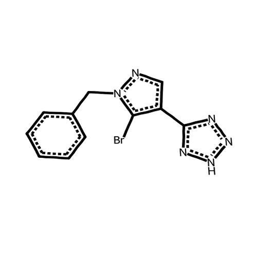 Brc1c(-c2nn[nH]n2)cnn1Cc1ccccc1